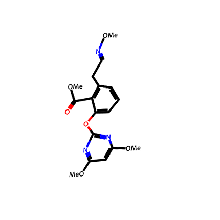 CON=CCc1cccc(Oc2nc(OC)cc(OC)n2)c1C(=O)OC